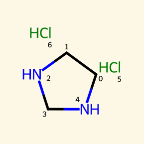 C1CNCN1.Cl.Cl